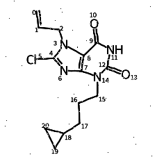 C=CCn1c(Cl)nc2c1c(=O)[nH]c(=O)n2CCCC1CC1